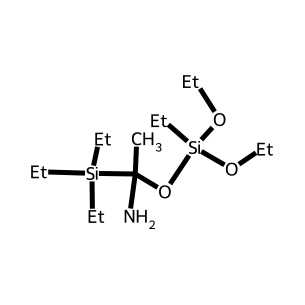 CCO[Si](CC)(OCC)OC(C)(N)[Si](CC)(CC)CC